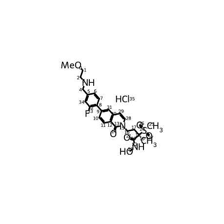 COCCNCc1ccc(-c2ccc3c(=O)n(CC[C@](C)(C(=O)NO)S(C)(=O)=O)ccc3c2)c(F)c1.Cl